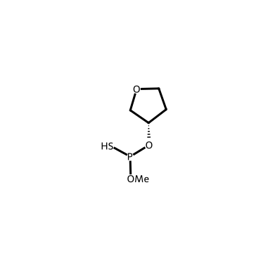 COP(S)O[C@H]1CCOC1